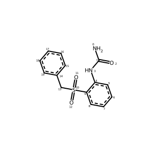 NC(=O)Nc1ccccc1S(=O)(=O)Cc1ccccc1